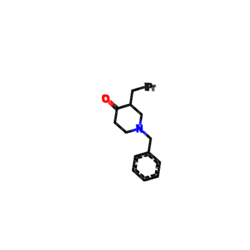 CC(C)CC1CN(Cc2ccccc2)CCC1=O